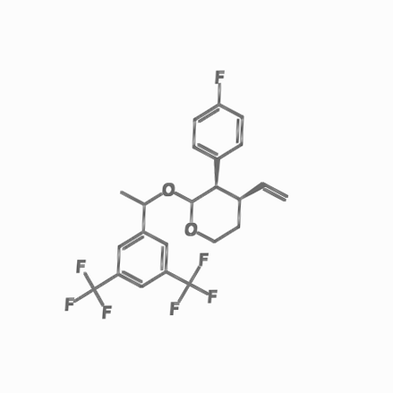 C=C[C@H]1CCOC(OC(C)c2cc(C(F)(F)F)cc(C(F)(F)F)c2)[C@H]1c1ccc(F)cc1